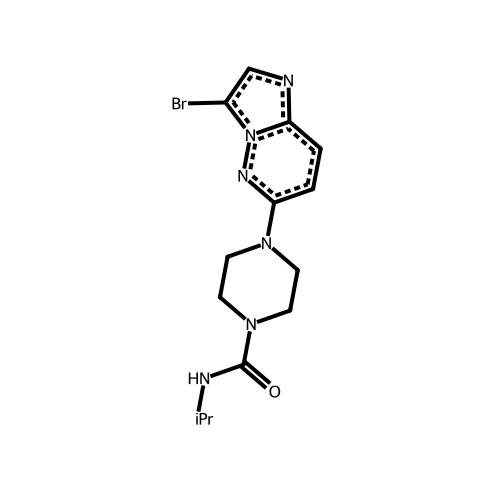 CC(C)NC(=O)N1CCN(c2ccc3ncc(Br)n3n2)CC1